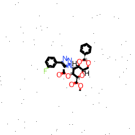 COC(=O)[C@@H]1O[C@@H]2CO[C@@H](c3ccccc3)O[C@@H]2[C@@H](n2cc(-c3cccc(F)c3)nn2)[C@H]1OC(C)=O